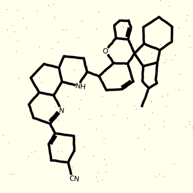 CC1CCC2C3CCCCC3C3(C4=CCCCC4OC4C(C5CCC6CCC7CCC(C8=CCC(C#N)CC8)=NC7C6N5)CC=CC43)C2C1